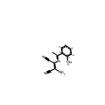 CC(=N/C(C#N)=C(\N)C#N)c1ccccc1O